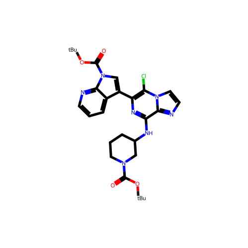 CC(C)(C)OC(=O)N1CCCC(Nc2nc(-c3cn(C(=O)OC(C)(C)C)c4ncccc34)c(Cl)n3ccnc23)C1